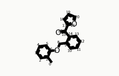 Cc1ccccc1OCc1ccccc1C(=O)c1ccco1